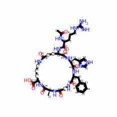 CC(=O)NC(CCCNC(=N)N)C(=O)NC1CCC(=O)NCCCC(C(=O)O)NC(=O)[C@H](C)NC(=O)CNC(=O)C(Cc2ccccc2)NC(=O)[C@H](Cc2c[nH]cn2)NC1=O